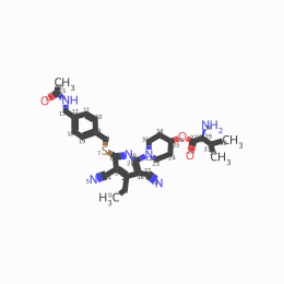 CCc1c(C#N)c(SCc2ccc(CNC(C)=O)cc2)nc(N2CCC(OC(=O)[C@@H](N)C(C)C)CC2)c1C#N